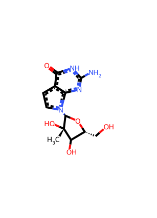 C[C@]1(O)C(O)[C@@H](CO)O[C@H]1n1ccc2c(=O)[nH]c(N)nc21